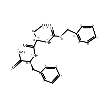 COC(=O)[C@H](Cc1ccccc1)NC(=O)[C@H](CC(=O)O)NC(=O)OCc1ccccc1